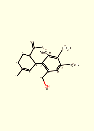 C=C(C)C1CCC(C)=CC1c1c(CO)cc(CCCCC)c(C(=O)O)c1OC